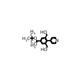 CC(C)(C)OC(=O)c1cc(CO)c(-c2ccncc2)c(CO)c1